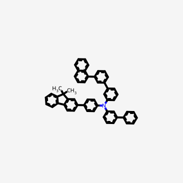 CC1(C)c2ccccc2-c2ccc(-c3ccc(N(c4cccc(-c5ccccc5)c4)c4cccc(-c5cccc(-c6cccc7ccccc67)c5)c4)cc3)cc21